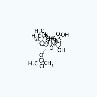 Cc1cc(OCCCc2c3n(c4c(-c5c(C)nn(C)c5C)c(Cl)ccc24)C(C)CN(c2cc(O)cc4cc(C(=O)O)n(C)c24)C3=O)cc(C)c1Cl